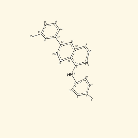 Cc1ccc(Nc2nccc3cc(-c4ccnc(C)c4)ncc23)cc1